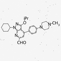 CC(C)Oc1nn(C2CCCCC2)c2nc(C=O)cc(-c3ccc(N4CCN(C)CC4)cc3)c12